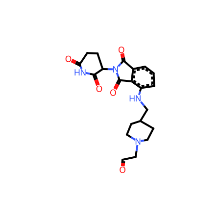 O=CCN1CCC(CNc2cccc3c2C(=O)N(C2CCC(=O)NC2=O)C3=O)CC1